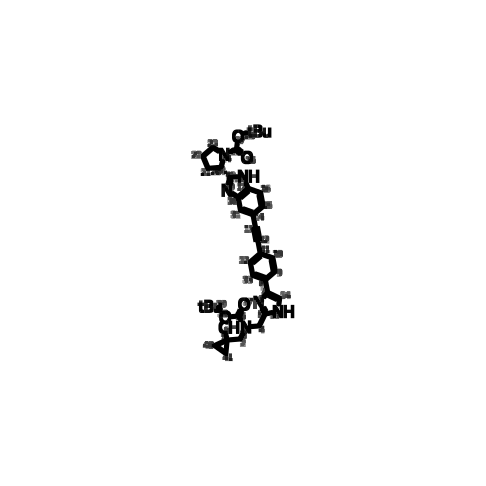 CC1(CN(Cc2nc(-c3ccc(C#Cc4ccc5[nH]c([C@@H]6CCCN6C(=O)OC(C)(C)C)nc5c4)cc3)c[nH]2)C(=O)OC(C)(C)C)CC1